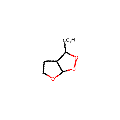 O=C(O)C1OOC2OCCC21